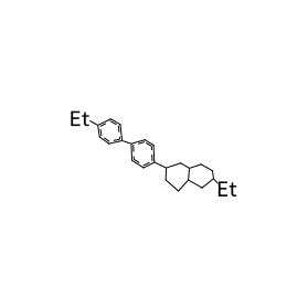 CCc1ccc(-c2ccc(C3CCC4CC(CC)CCC4C3)cc2)cc1